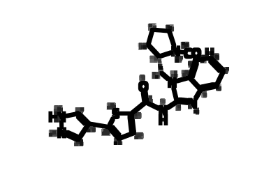 O=C(Nc1nc2ccccc2n1C[C@@H]1CCCN1C(=O)O)c1ccc(-c2cn[nH]c2)s1